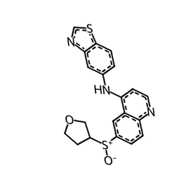 [O-][S+](c1ccc2nccc(Nc3ccc4scnc4c3)c2c1)C1CCOC1